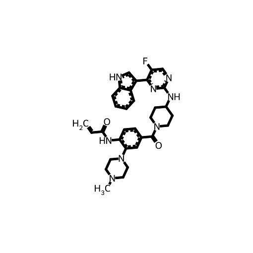 C=CC(=O)Nc1ccc(C(=O)N2CCC(Nc3ncc(F)c(-c4c[nH]c5ccccc45)n3)CC2)cc1N1CCN(C)CC1